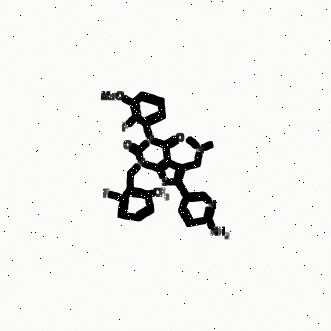 COc1cccc(-n2c(=O)c3c(CN(C)C)c(-c4ccc(N)nc4)sc3n(Cc3c(F)cccc3C(F)(F)F)c2=O)c1F